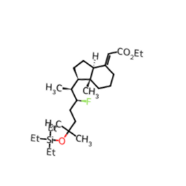 CCOC(=O)/C=C1\CCC[C@]2(C)[C@@H]([C@H](C)[C@@H](F)CCC(C)(C)O[Si](CC)(CC)CC)CC[C@@H]12